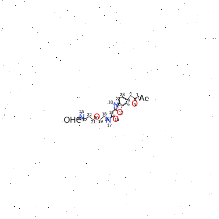 CC(=O)CC(=O)Cc1ccc(N(C)C(=O)CC(=O)N(C)CCOCCCN(C)C=O)cc1